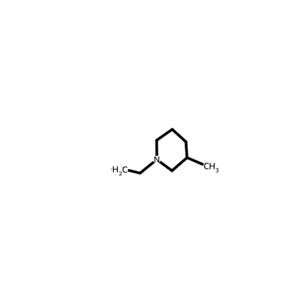 [CH2]CN1CCCC(C)C1